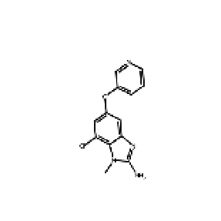 Cn1c(N)nc2cc(Oc3cccnc3)cc(Cl)c21